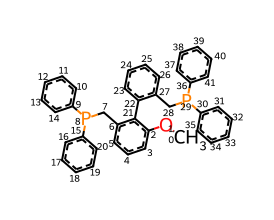 COc1cccc(CP(c2ccccc2)c2ccccc2)c1-c1ccccc1CP(c1ccccc1)c1ccccc1